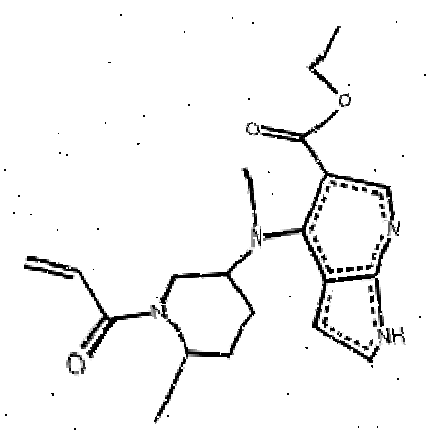 C=CC(=O)N1CC(N(C)c2c(C(=O)OCC)cnc3[nH]ccc23)CCC1C